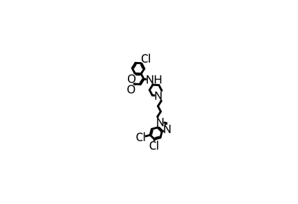 O=c1cc(NC2CCN(CCCCn3cnc4cc(Cl)c(Cl)cc43)CC2)c2cc(Cl)ccc2o1